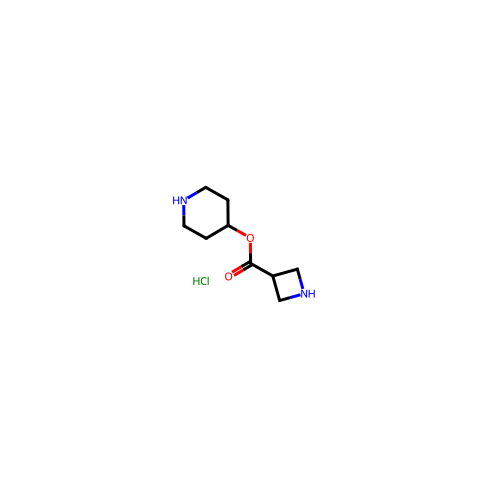 Cl.O=C(OC1CCNCC1)C1CNC1